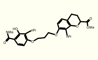 CCCc1c(OCCCOc2ccc3c(c2CCC)OC(C(=O)OC)CC3)ccc(C(=O)NC)c1O